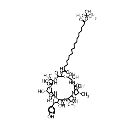 C[C@@H](O)C1NC(=O)[C@H]([C@H](O)[C@@H](O)c2ccc(O)cc2)NC(=O)[C@@H]2C[C@@H](O)CN2C(=O)[C@H]([C@@H](C)O)NC(=O)[C@@H](NC(=O)CCCCCCCCCCCCCCCCC(=O)OC(C)(C)C)C[C@@H](O)[C@@H](O)NC(=O)[C@@H]2[C@@H](O)[C@@H](C)CN2C1=O